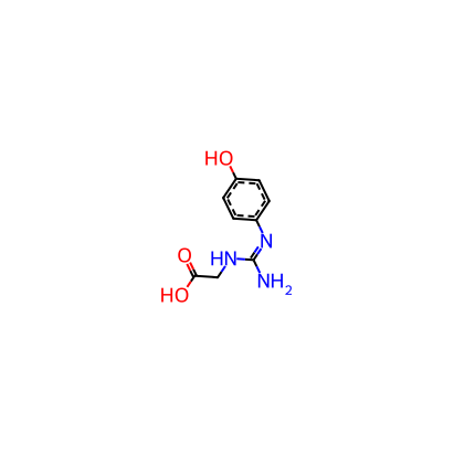 NC(=Nc1ccc(O)cc1)NCC(=O)O